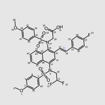 COc1ccc(S(=O)(=O)N(CC(F)F)c2cc(/C=C/c3ccc(F)cc3)c(N(CC(=O)O)S(=O)(=O)c3ccc(OC)cc3)c3ccccc23)cc1